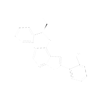 COc1ccccc1-c1cc2c(N[C@H](CO)c3ccccc3)ncnc2s1